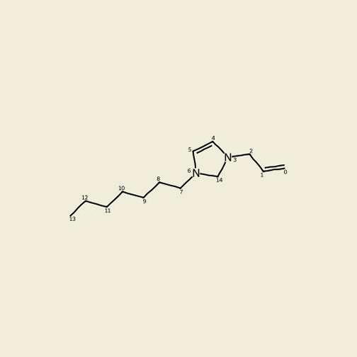 C=CCN1C=CN(CCCCCCC)C1